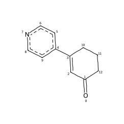 O=C1C=C(c2ccncc2)CCC1